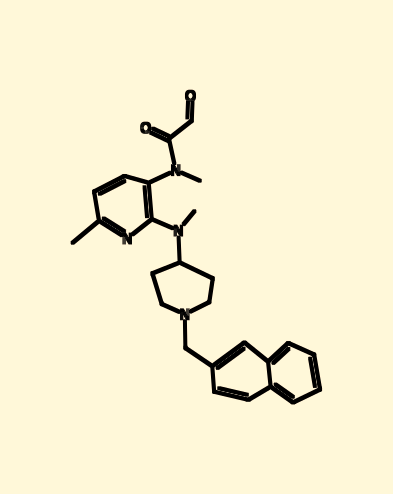 Cc1ccc(N(C)C(=O)C=O)c(N(C)C2CCN(Cc3ccc4ccccc4c3)CC2)n1